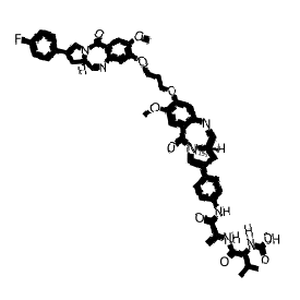 COc1cc2c(cc1OCCCOc1cc3c(cc1OC)C(=O)N1C=C(c4ccc(NC(=O)C(C)NC(=O)C(NC(=O)O)C(C)C)cc4)C[C@H]1C=N3)N=C[C@@H]1CC(c3ccc(F)cc3)=CN1C2=O